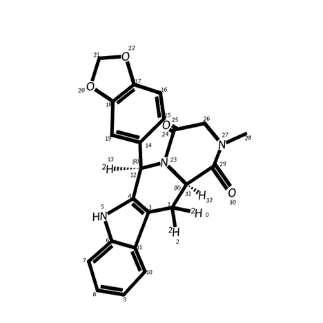 [2H]C1([2H])c2c([nH]c3ccccc23)[C@@]([2H])(c2ccc3c(c2)OCO3)N2C(=O)CN(C)C(=O)[C@H]21